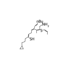 C/C=C\S/C(CN)=C(\C)C(=CC/C=C(\S)CCCC1CC1)/C=C/CCCC